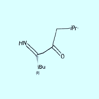 CC[C@@H](C)C(=N)C(=O)C[C](C)C